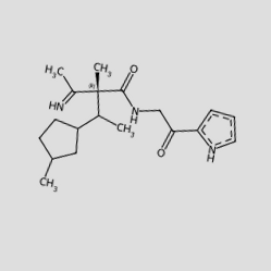 CC(=N)[C@](C)(C(=O)NCC(=O)c1ccc[nH]1)C(C)C1CCC(C)C1